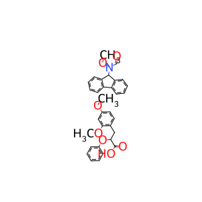 CON(C=O)C1c2ccccc2-c2ccccc21.COc1ccc(CC(Oc2ccccc2)C(=O)O)c(OC)c1